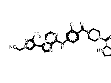 N#CCn1cc(-c2cnc3c(Nc4ccc(C(=O)N5CCN(C(=O)[C@@H]6CCCN6)CC5)c(Cl)c4)nccn23)c(C(F)(F)F)n1